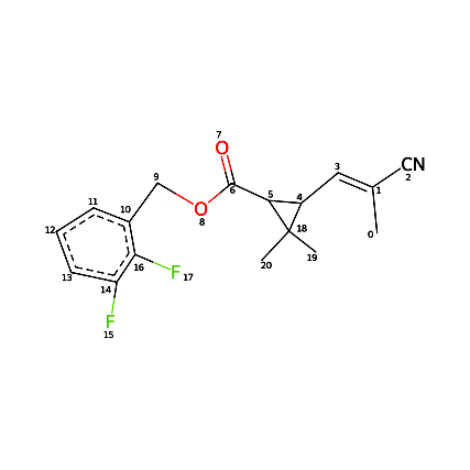 CC(C#N)=CC1C(C(=O)OCc2cccc(F)c2F)C1(C)C